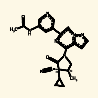 CC(=O)Nc1cncc(-c2cn3nccc3c(N3C[C@@H](C)[C@@](C#N)(C4CC4)C3=O)n2)c1